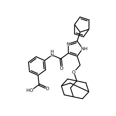 O=C(O)c1cccc(NC(=O)c2nc(C3C4C=CC3C=C4)[nH]c2COC23CC4CC(CC(C4)C2)C3)c1